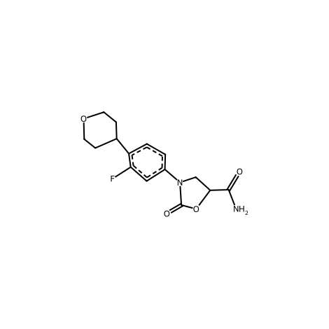 NC(=O)C1CN(c2ccc(C3CCOCC3)c(F)c2)C(=O)O1